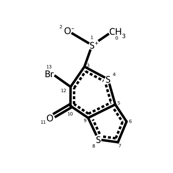 C[S+]([O-])c1sc2ccsc2c(=O)c1Br